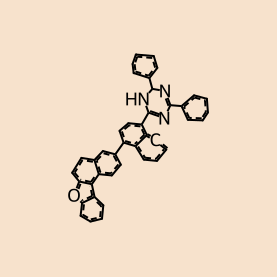 c1ccc(C2=NC(c3ccccc3)NC(c3ccc(-c4ccc5c(ccc6oc7ccccc7c65)c4)c4ccccc34)=N2)cc1